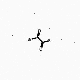 O=C(Br)C(=O)Br